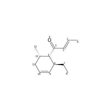 CC=CC(=O)[C@@H]1[C@@H](CC)C=CC[C@@H]1C